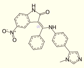 Cn1cncc1-c1ccc(N/C(=C2\C(=O)Nc3ccc([N+](=O)[O-])cc32)c2ccccc2)cc1